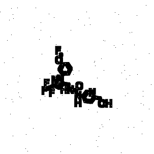 O=C(NCc1cc(C(F)(F)F)nn1-c1cccc(OCF)c1)Nc1ccc(CO)nc1